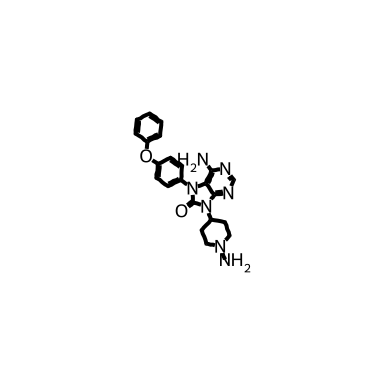 Nc1ncnc2c1n(-c1ccc(Oc3ccccc3)cc1)c(=O)n2C1CCN(N)CC1